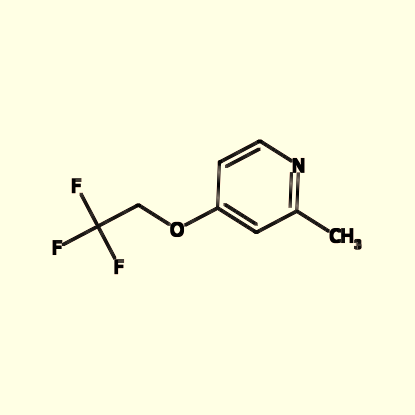 Cc1cc(OCC(F)(F)F)ccn1